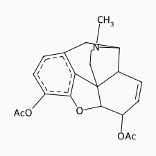 CC(=O)Oc1ccc2c3c1OC1C(OC(C)=O)C=CC4C(C2)N(C)CCC341